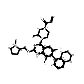 C=CC(=O)N1CCN(c2nc(OCC3CCCN3C)nc3c(F)c(-c4cccc5c4CCCC5)c(F)cc23)C(C)C1